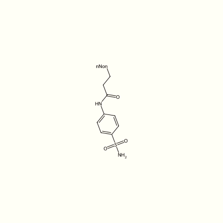 CCCCCCCCCCCC(=O)Nc1ccc(S(N)(=O)=O)cc1